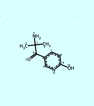 CC(C)(N)C(=O)c1ccc(O)nc1